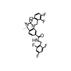 C[C@H]1c2ccc(C(=O)NCc3c(F)cc(F)cc3F)cc2N(Cc2c(Cl)ccc(F)c2F)C(=O)N1C